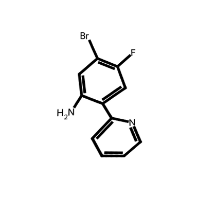 Nc1cc(Br)c(F)cc1-c1ccccn1